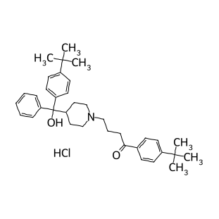 CC(C)(C)c1ccc(C(=O)CCCN2CCC(C(O)(c3ccccc3)c3ccc(C(C)(C)C)cc3)CC2)cc1.Cl